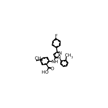 CCc1ccc(Nc2cc(-c3ccc(F)cc3)nn2-c2ccccc2C)c(C(=O)O)c1